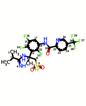 CC(C)C(=N)N[C@@](C)(C[SH](=O)=O)c1c(F)c(F)cc(NC(=O)c2ccc(C(F)(F)F)cn2)c1F